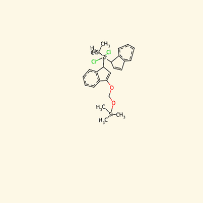 C[SiH](C)[Zr]([Cl])([Cl])([CH]1C=Cc2ccccc21)[CH]1C=C(OCO[Si](C)(C)C)c2ccccc21